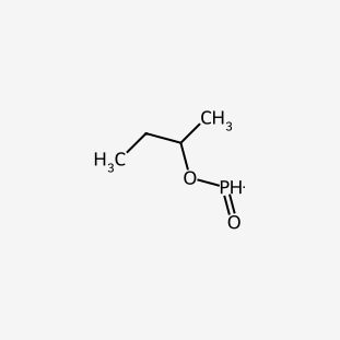 CCC(C)O[PH]=O